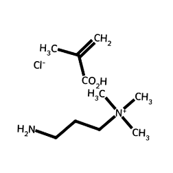 C=C(C)C(=O)O.C[N+](C)(C)CCCN.[Cl-]